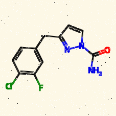 NC(=O)n1ccc([CH]c2ccc(Cl)c(F)c2)n1